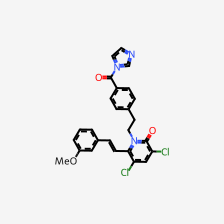 COc1cccc(C=Cc2c(Cl)cc(Cl)c(=O)n2CCc2ccc(C(=O)n3ccnc3)cc2)c1